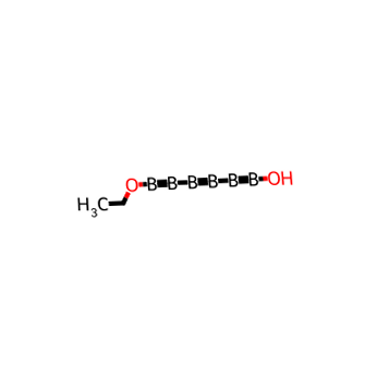 CCOB=BB=BB=BO